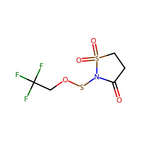 O=C1CCS(=O)(=O)N1SOCC(F)(F)F